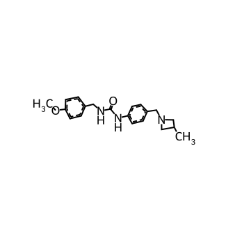 COc1ccc(CNC(=O)Nc2ccc(CN3CC(C)C3)cc2)cc1